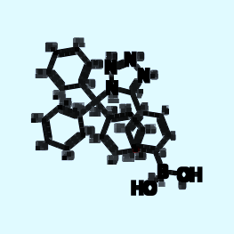 OB(O)c1ccc(-c2nnnn2C(c2ccccc2)(c2ccccc2)c2ccccc2)cc1